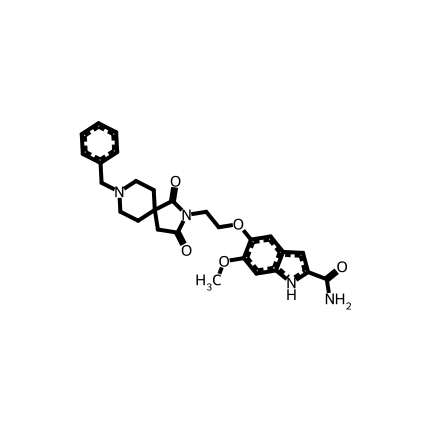 COc1cc2[nH]c(C(N)=O)cc2cc1OCCN1C(=O)CC2(CCN(Cc3ccccc3)CC2)C1=O